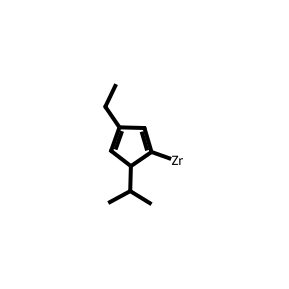 CCC1=CC(C(C)C)[C]([Zr])=C1